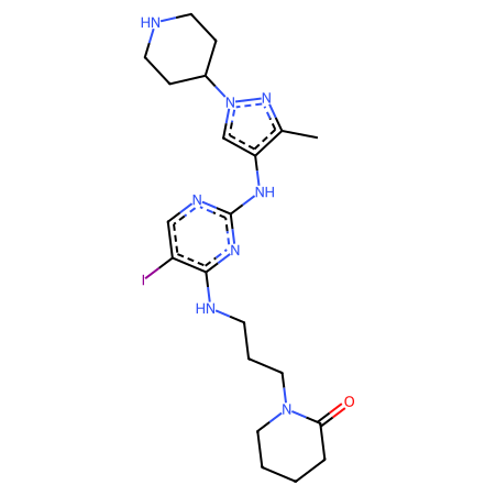 Cc1nn(C2CCNCC2)cc1Nc1ncc(I)c(NCCCN2CCCCC2=O)n1